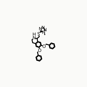 Cn1nnnc1SCC1NCCc2cc(OCc3ccccc3)c(OCc3ccccc3)cc21